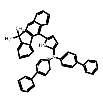 CC1(C)c2ccccc2-c2c1cc1ccccc1c2-c1ccc(N(c2ccc(-c3ccccc3)cc2)[C@@H]2C=CC(c3ccccc3)=CC2)[nH]1